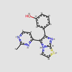 Cc1nccc(-c2c(-c3cccc(O)c3)nc3sccn23)n1